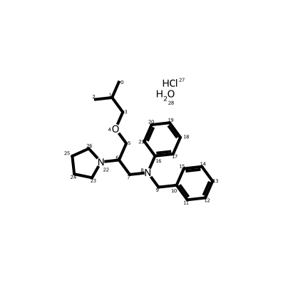 CC(C)COCC(CN(Cc1ccccc1)c1ccccc1)N1CCCC1.Cl.O